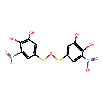 O=[N+]([O-])c1cc(SOSc2cc(O)c(O)c([N+](=O)[O-])c2)cc(O)c1O